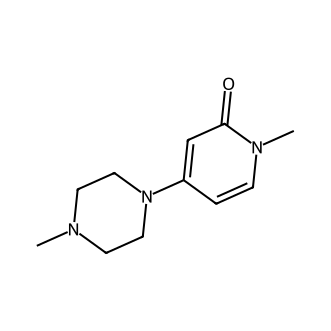 CN1CCN(c2ccn(C)c(=O)c2)CC1